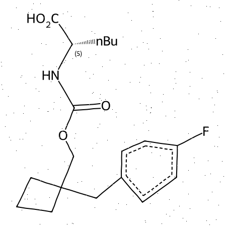 CCCC[C@H](NC(=O)OCC1(Cc2ccc(F)cc2)CCC1)C(=O)O